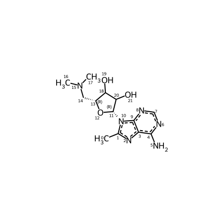 Cc1nc2c(N)ncnc2n1[C@@H]1O[C@H](CN(C)C)C(O)C1O